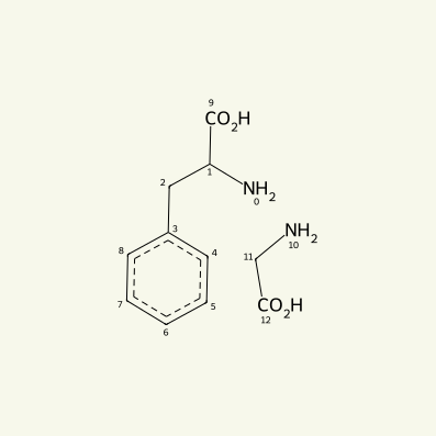 NC(Cc1ccccc1)C(=O)O.NCC(=O)O